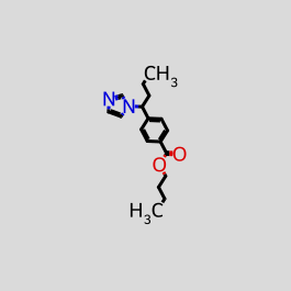 CCCCOC(=O)c1ccc(C(CCC)n2ccnc2)cc1